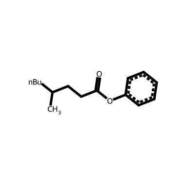 CCCCC(C)CCC(=O)Oc1ccccc1